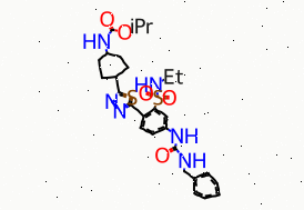 CCNS(=O)(=O)c1cc(NC(=O)NCc2ccccc2)ccc1-c1nnc(C2CCC(NC(=O)OC(C)C)CC2)s1